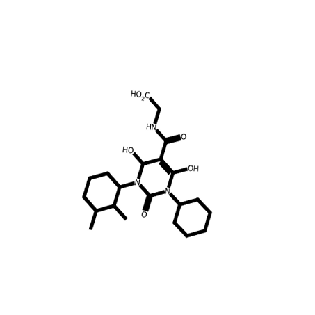 CC1CCCC(N2C(=O)N(C3CCCCC3)C(O)=C(C(=O)NCC(=O)O)C2O)C1C